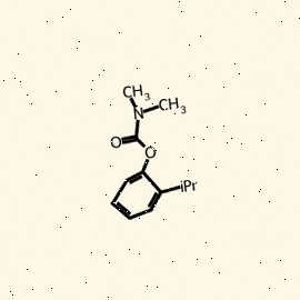 CC(C)c1ccccc1OC(=O)N(C)C